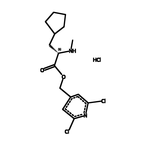 CN[C@@H](CC1CCCC1)C(=O)OCc1cc(Cl)nc(Cl)c1.Cl